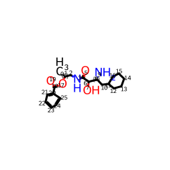 C[C@@H](CNC(=O)C(O)[C@H](N)CC1CCCCC1)OC(=O)c1ccccc1